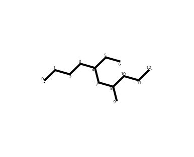 [CH2]CCCC(CC)CC(C)CC[CH2]